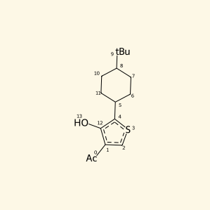 CC(=O)c1csc(C2CCC(C(C)(C)C)CC2)c1O